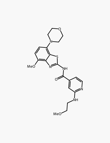 COCCNc1cc(C(=O)Nc2nc3c(OC)ccc(N4CCOCC4)c3s2)ccn1